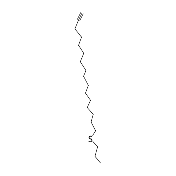 C#CCCCCCCCCCCCCCCSCCC